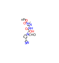 CCCOC(=O)n1cc(NC(=O)[C@H](O)CN(C=O)c2cccc(-c3cnn(C)c3)c2)nc1C